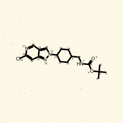 CC(C)(C)OC(=O)NCC1CCC(n2cc3cnc(Cl)cc3n2)CC1